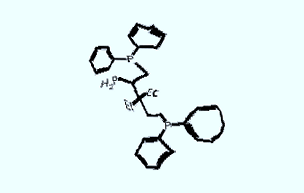 CCC(CC)(CCP(c1ccccc1)c1ccccc1)C(P)CP(c1ccccc1)c1ccccc1